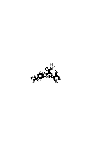 CC1(c2ccc(NC(=N)/C(=C\NC3COCCC3C#N)C(N)=O)cc2)COC1